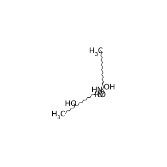 CCCCCCCCCCCCC/C=C/C(O)C(CO)NC(=O)CCCCCCCCCCC(O)CCCCCC